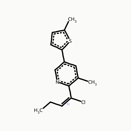 CC/C=C(/Cl)c1ncc(-c2ccc(C)s2)cc1C